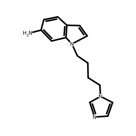 Nc1ccc2ccn(CCCCn3ccnc3)c2c1